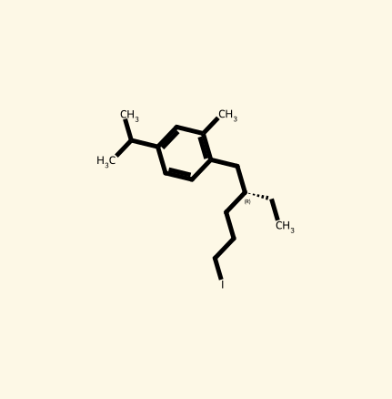 CC[C@H](CCCI)Cc1ccc(C(C)C)cc1C